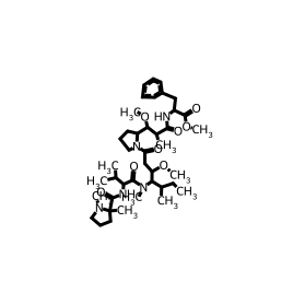 CCC(C)C(C(CC(=O)N1CCCC1C(OC)C(C)C(=O)NC(Cc1ccccc1)C(=O)OC)OC)N(C)C(=O)C(NC(=O)C1(C)CCCN1C)C(C)C